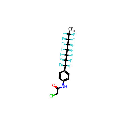 O=C(CCl)Nc1ccc(C(F)(F)C(F)(F)C(F)(F)C(F)(F)C(F)(F)C(F)(F)C(F)(F)C(F)(F)F)cc1